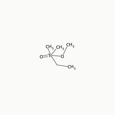 C[CH2][Ti]([CH3])([CH3])(=[O])[O]C